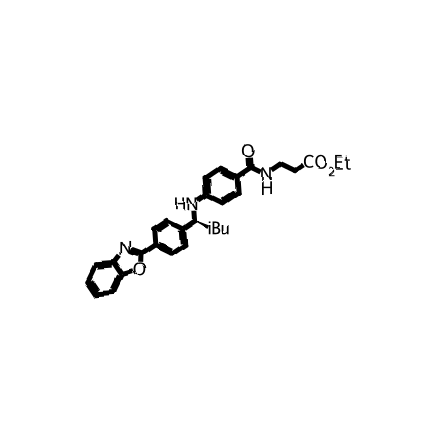 CCOC(=O)CCNC(=O)c1ccc(N[C@H](c2ccc(-c3nc4ccccc4o3)cc2)C(C)CC)cc1